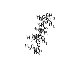 Cn1nccc1OCC(C)(C)NC(=O)[C@H]1[C@@H]2CN(C(=O)OC(C)(C)C)C[C@@H]21